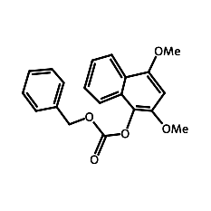 COc1cc(OC)c2ccccc2c1OC(=O)OCc1ccccc1